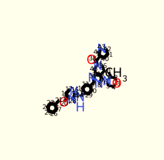 CC1COCCN1c1nc(-c2ccc(Nc3nccc(OCc4ccccc4)n3)cc2)nc2c1CCN(C(=O)c1cccnc1)C2